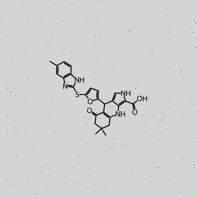 Cc1ccc2[nH]c(Sc3ccc(C4C5=C(CC(C)(C)CC5=O)Nc5c4c[nH]c5C(=O)O)o3)nc2c1